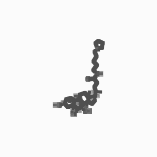 CC[C@H]1[C@@H](O)[C@@H]2[C@H](CC[C@]3(C)[C@@H]([C@H](C)CCC(=O)NCCCCCN4CCCC4)CC[C@@H]23)[C@@]2(C)CC[C@@H](O)C[C@@H]12